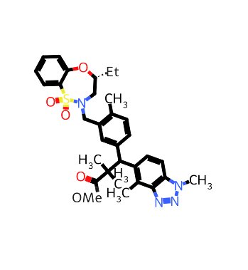 CC[C@@H]1CN(Cc2cc(C(c3ccc4c(nnn4C)c3C)C(C)(C)C(=O)OC)ccc2C)S(=O)(=O)c2ccccc2O1